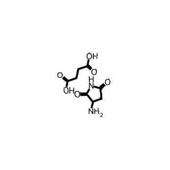 NC1CC(=O)NC1=O.O=C(O)CCC(=O)O